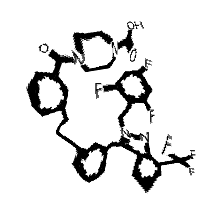 O=C(O)N1CCN(C(=O)c2cccc(CCc3cccc(-c4c5cccc(C(F)(F)F)c5nn4Cc4c(F)cc(F)cc4F)c3)c2)CC1